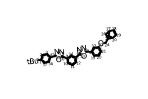 CC(C)(C)c1ccc(-c2nnc(-c3cccc(-c4nnc(-c5cccc(OCC6CC7C=CC6C7)c5)o4)c3)o2)cc1